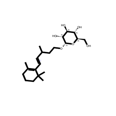 CC1=C(/C=C/C(C)CCO[C@H]2O[C@H](CO)[C@@H](O)[C@H](O)[C@H]2O)C(C)(C)CCC1